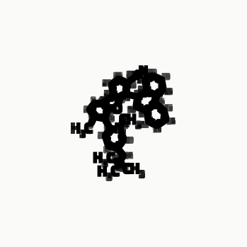 Cc1ccc2c(oc3c(-c4cc5ccccc5c5ccccc45)c(C#N)ccc32)c1-c1ccc(CC(C)(C)C)c[n+]1C